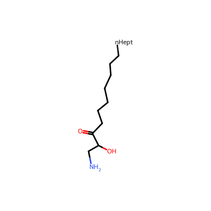 CCCCCCCCCCCCCCC(=O)C(O)CN